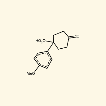 COc1ccc(C2(C(=O)O)CCC(=O)CC2)cc1